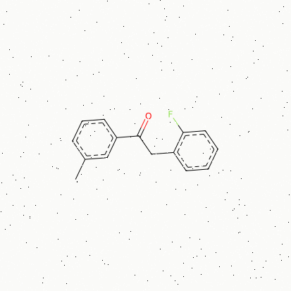 Cc1cccc(C(=O)Cc2ccccc2F)c1